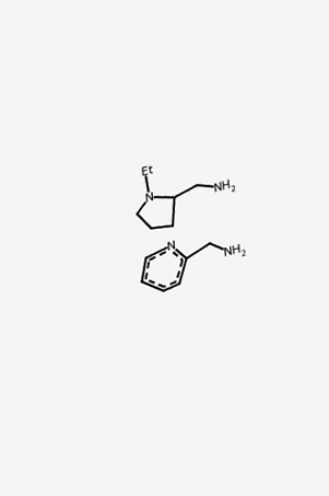 CCN1CCCC1CN.NCc1ccccn1